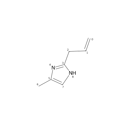 C=CCc1nc(C)c[nH]1